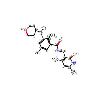 CCN(c1cc(C(C)C)cc(C(=O)NCc2c(C)cc(C)[nH]c2=O)c1C)C1CCOCC1